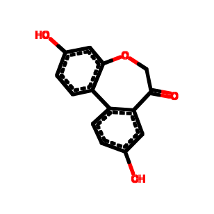 O=C1COc2cc(O)ccc2-c2ccc(O)cc21